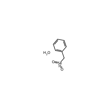 O.O=[SeH](=O)Cc1ccccc1